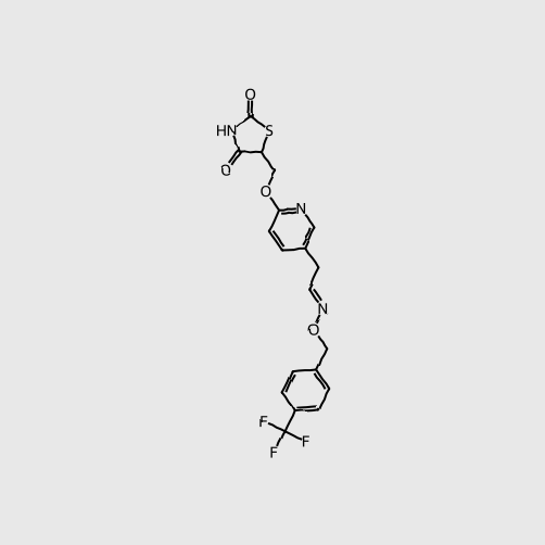 O=C1NC(=O)C(COc2ccc(CC=NOCc3ccc(C(F)(F)F)cc3)cn2)S1